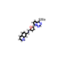 CSc1ncnn2c([C@H]3CC[C@@H](/C=C/c4ccc5cccnc5c4)O3)ccc12